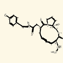 O=C(O)N[C@H]1CC=CC[C@@H](CC(=O)NCc2ccc(Cl)cc2)C(=O)N2CCC[C@H]2COC1=O